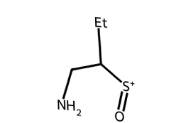 CCC(CN)[S+]=O